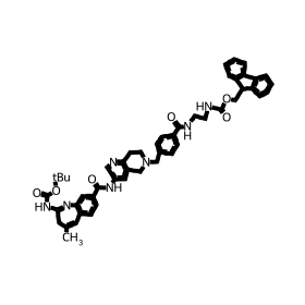 CC1=Cc2ccc(C(=O)Nc3cnc4c(c3)CN(Cc3ccc(C(=O)NCCNC(=O)OCC5c6ccccc6-c6ccccc65)cc3)CC4)cc2N=C(NC(=O)OC(C)(C)C)C1